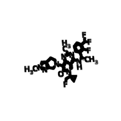 Cc1nc(N[C@H](C)c2cccc(C(F)F)c2F)c2cn(C3(CF)CC3)c(=O)c(N3CCc4cn(C)nc4C3)c2n1